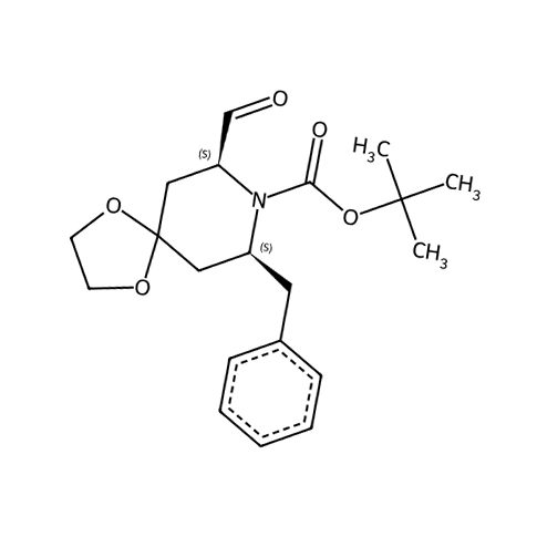 CC(C)(C)OC(=O)N1[C@@H](Cc2ccccc2)CC2(C[C@H]1C=O)OCCO2